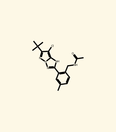 CC(=O)NCc1ccc(C)cc1-c1nn2nc(C(C)(C)C)c(Cl)c2[nH]1